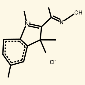 CC(=NO)C1=[N+](C)c2ccc(C)cc2C1(C)C.[Cl-]